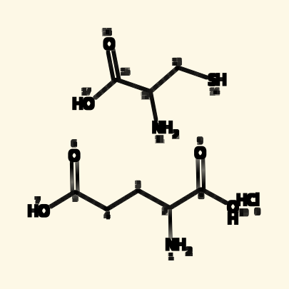 Cl.NC(CCC(=O)O)C(=O)O.NC(CS)C(=O)O